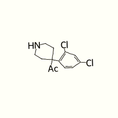 CC(=O)C1(c2ccc(Cl)cc2Cl)CCNCC1